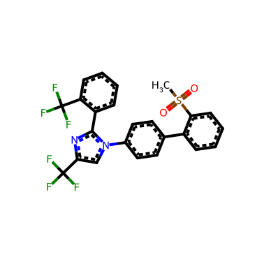 CS(=O)(=O)c1ccccc1-c1ccc(-n2cc(C(F)(F)F)nc2-c2ccccc2C(F)(F)F)cc1